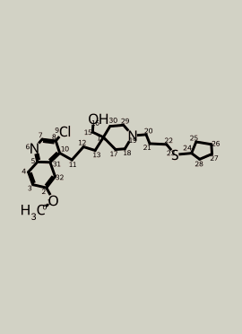 COc1ccc2ncc(Cl)c(CCCC3(CO)CCN(CCCSC4CCCC4)CC3)c2c1